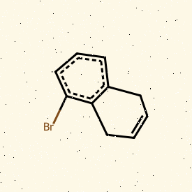 Brc1[c]ccc2c1CC=CC2